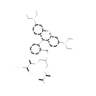 C=C(C)C(=O)OCC(COC(=O)C(=C)C)OC(=O)c1ccccc1-c1c2ccc(N(CC)CC)cc2[o+]c2cc(N(CC)CC)ccc12.[Cl-]